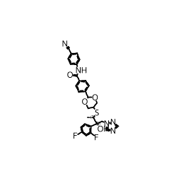 C[C@@H](SC1COC(c2ccc(C(=O)Nc3ccc(C#N)cc3)cc2)OC1)[C@](O)(Cn1cncn1)c1ccc(F)cc1F